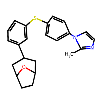 Cc1nccn1-c1ccc(Sc2cccc(C3CC4CCC(C3)O4)c2)cc1